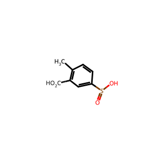 Cc1ccc(S(=O)O)cc1C(=O)O